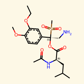 CCOc1cc([C@](CN)(OC(=O)[C@@H](CC(C)C)NC(C)=O)S(C)(=O)=O)ccc1OC